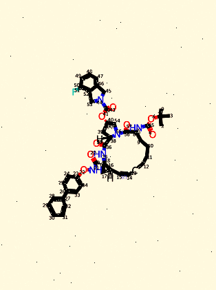 CC(C)(C)OC(=O)N[C@H]1CCCCC/C=C\[C@@H]2C[C@@]2(C(=O)NOc2ccc(-c3ccccc3)cc2)NC(=O)[C@@H]2C[C@@H](OC(=O)N3Cc4cccc(F)c4C3)CN2C1=O